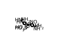 CS(=O)(=O)O.CS(=O)(=O)O.N=C(N)Nc1ccc(C(=O)Oc2ccc(C(=N)N)cc2[N+](=O)[O-])cc1